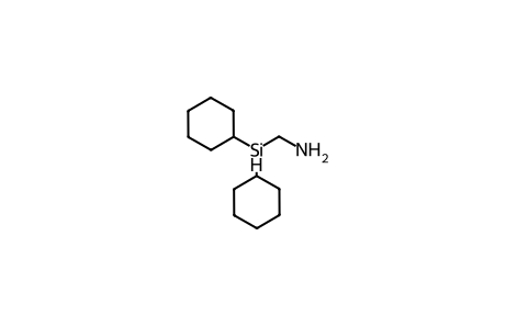 NC[SiH](C1CCCCC1)C1CCCCC1